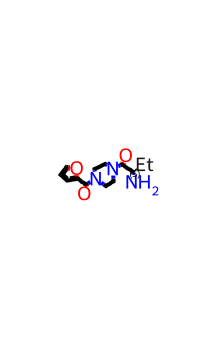 CC[C@H](N)C(=O)N1CCN(C(=O)c2ccco2)CC1